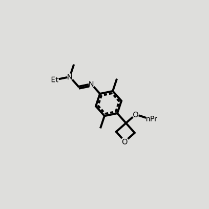 CCCOC1(c2cc(C)c(N=CN(C)CC)cc2C)COC1